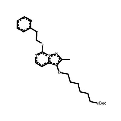 CCCCCCCCCCCCCCCCOc1c(C)nn2c(SCCc3ccccc3)nccc12